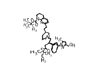 Cc1cc(CO)nn1-c1cccc(C(CC(=O)OC(C)(C)C)CN2CCC(CCc3ccc4c(n3)N(C(=O)OC(C)(C)C)CCC4)C2)c1